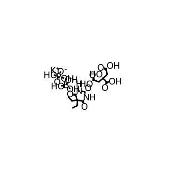 CCC1(CC)C(=O)NC(=O)NC1=O.O=C(O)CC(O)(CC(=O)O)C(=O)O.O=P([O-])(O)O.OB(O)O.[K+]